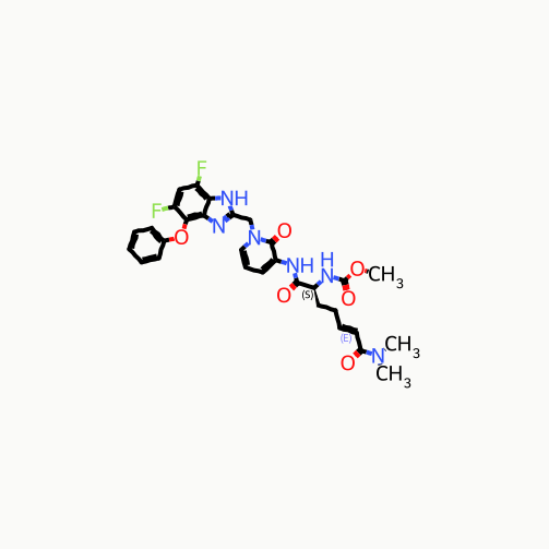 COC(=O)N[C@@H](CC/C=C/C(=O)N(C)C)C(=O)Nc1cccn(Cc2nc3c(Oc4ccccc4)c(F)cc(F)c3[nH]2)c1=O